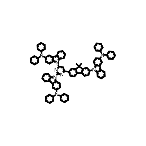 CC1(C)c2cc(-c3cc(-n4c5ccccc5c5cc(N(c6ccccc6)c6ccccc6)ccc54)nc(-n4c5ccccc5c5cc(N(c6ccccc6)c6ccccc6)ccc54)n3)ccc2-c2ccc(-n3c4ccccc4c4cc(N(c5ccccc5)c5ccccc5)ccc43)cc21